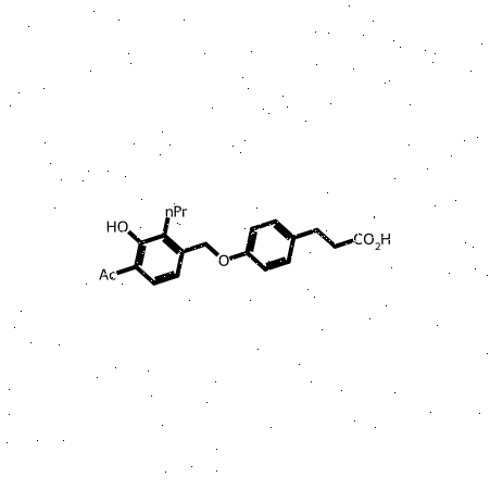 CCCc1c(COc2ccc(CCC(=O)O)cc2)ccc(C(C)=O)c1O